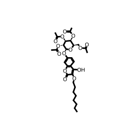 CCCCCCCCOc1c(O)c2ccc(O[C@@H]3O[C@H](COC(C)=O)[C@H](OC(C)=O)[C@H](OC(C)=O)[C@H]3OC(C)=O)cc2oc1=O